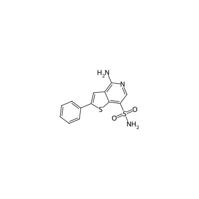 Nc1ncc(S(N)(=O)=O)c2sc(-c3ccccc3)cc12